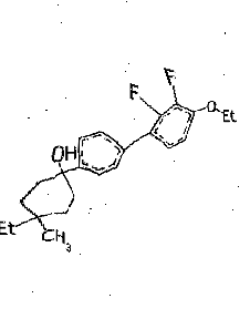 CCOc1ccc(-c2ccc(C3(O)CCC(C)(CC)CC3)cc2)c(F)c1F